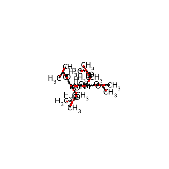 CCCCCC(CCCCC)CCCOC(=O)CCCCCCCN(CCCCCCC(C)(C)C(=O)OCCCC(CCCCC)CCCCC)CCNC(=O)CCC(=O)NCCN(CCCCCCCC(=O)OCCCC(CCCCC)CCCCC)CCCCCCC(C)(C)C(=O)OCCCC(CCCCC)CCCCC